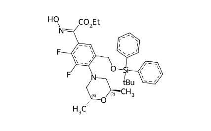 CCOC(=O)C(=NO)c1cc(CO[Si](c2ccccc2)(c2ccccc2)C(C)(C)C)c(N2C[C@@H](C)O[C@H](C)C2)c(F)c1F